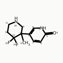 CC1(c2ccc(=O)[nH]c2)CNCCC1(F)F